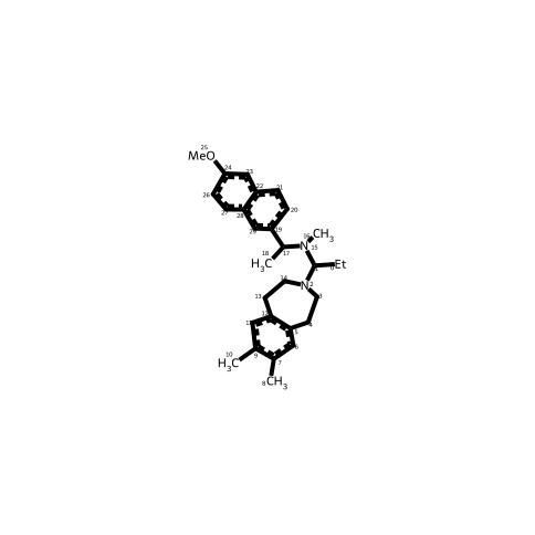 CCC(N1CCc2cc(C)c(C)cc2CC1)N(C)C(C)c1ccc2cc(OC)ccc2c1